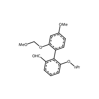 CCCOc1cccc(C=O)c1-c1ccc(OC)cc1OCOC